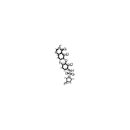 Cn1cnc2ccc(Oc3c(F)ccc(NS(=O)(=O)N4CCC(F)C4)c3Cl)c(Cl)c2c1=O